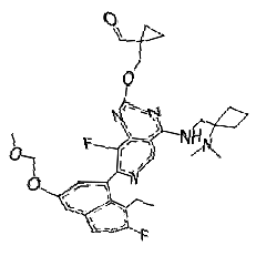 CCc1c(F)ccc2cc(OCOC)cc(-c3ncc4c(NCC5(N(C)C)CCC5)nc(OCC5(C=O)CC5)nc4c3F)c12